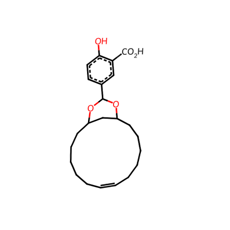 O=C(O)c1cc(C2OC3CCCCC/C=C\CCCCCC(C3)O2)ccc1O